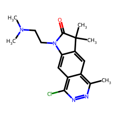 Cc1nnc(Cl)c2cc3c(cc12)C(C)(C)C(=O)N3CCN(C)C